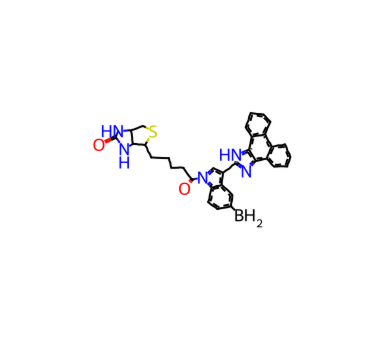 Bc1ccc2c(c1)c(-c1nc3c4ccccc4c4ccccc4c3[nH]1)cn2C(=O)CCCCC1SCC2NC(=O)NC21